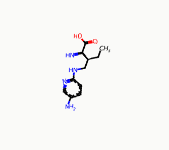 CCC(CNc1ccc(N)cn1)C(=N)C(=O)O